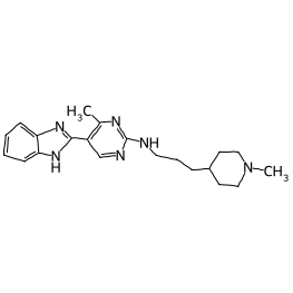 Cc1nc(NCCCC2CCN(C)CC2)ncc1-c1nc2ccccc2[nH]1